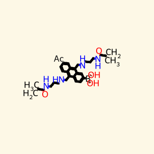 C=C(C)C(=O)NCCCNCc1c2ccc(B(O)O)cc2c(CNCCCNC(=O)C(=C)C)c2cc(C(C)=O)ccc12